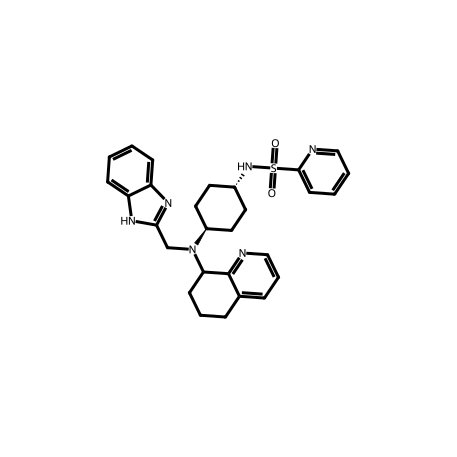 O=S(=O)(N[C@H]1CC[C@H](N(Cc2nc3ccccc3[nH]2)C2CCCc3cccnc32)CC1)c1ccccn1